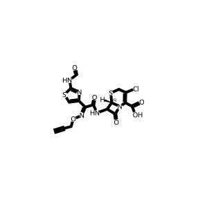 C#CCON=C(C(=O)NC1C(=O)N2C(C(=O)O)=C(Cl)CS[C@@H]12)c1csc(NC=O)n1